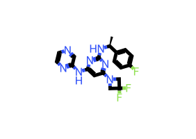 C[C@H](Nc1nc(Nc2cnccn2)cc(N2CC(F)(F)C2)n1)c1ccc(F)cc1